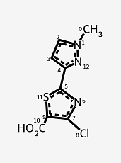 Cn1ccc(-c2nc(Cl)c(C(=O)O)s2)n1